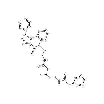 CC(CCNC(=O)Oc1cccnc1)CC(=O)NCCC(C(=O)c1ncc(-c2ccccc2)o1)c1ccccc1